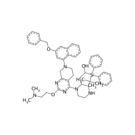 CN(C)CCOc1nc2c(c(N3CCNCC3CC(O)[Si](c3ccccc3)(c3ccccc3)C(C)(C)C)n1)CCN(c1cc(OCc3ccccc3)cc3ccccc13)C2